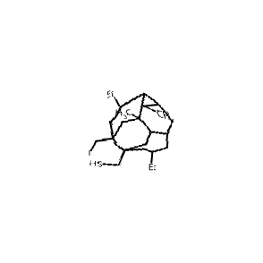 CCC1CC2(CI)CC3(C)C4CC2(CS)C(CC)CC4CC2C1C23C